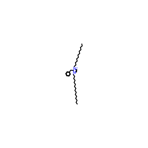 CCCCCCCCCCCCCCCCn1cc[n+](CCCCCCCCCCCCC)c1Cc1ccccc1